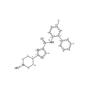 CCCN1CCC(c2nc(C(=O)Nc3ccc(C)cc3-c3ccccc3)cs2)CC1